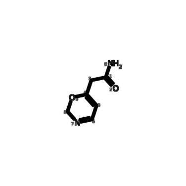 NC(=O)CC1=CC=NCO1